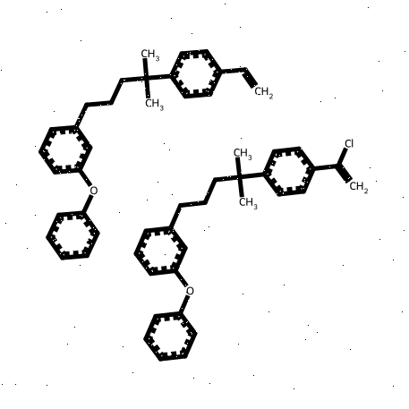 C=C(Cl)c1ccc(C(C)(C)CCCc2cccc(Oc3ccccc3)c2)cc1.C=Cc1ccc(C(C)(C)CCCc2cccc(Oc3ccccc3)c2)cc1